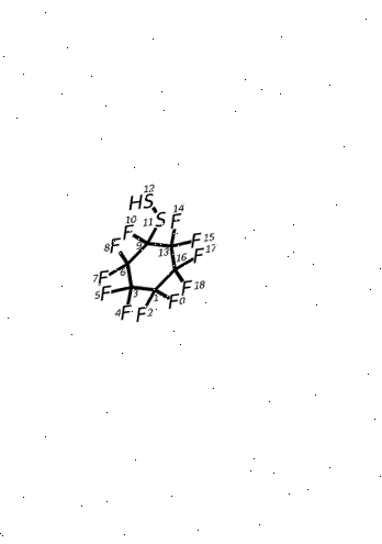 FC1(F)C(F)(F)C(F)(F)C(F)(SS)C(F)(F)C1(F)F